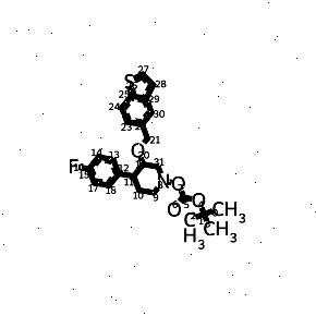 CC(C)(C)OC(=O)ON1CCC(c2ccc(F)cc2)C(OCc2ccc3sccc3c2)C1